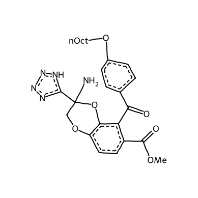 CCCCCCCCOc1ccc(C(=O)c2c(C(=O)OC)ccc3c2OC(N)(c2nnn[nH]2)CO3)cc1